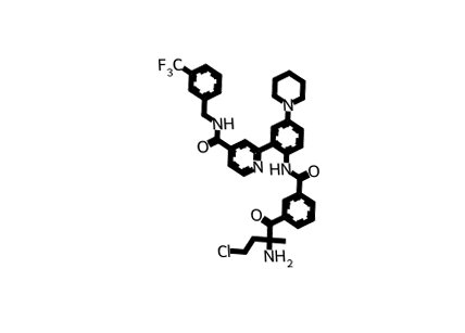 CC(N)(CCCl)C(=O)c1cccc(C(=O)Nc2ccc(N3CCCCC3)cc2-c2cc(C(=O)NCc3cccc(C(F)(F)F)c3)ccn2)c1